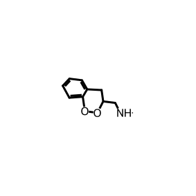 [NH]CC1Cc2ccccc2OO1